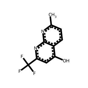 Cc1ccc2c(O)cc(C(F)(F)F)nc2n1